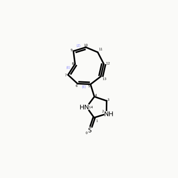 S=C1NCC(/C2=C/C=C/C=C\CC#C2)N1